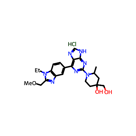 CCn1c(COC)nc2cc(-c3nc(N4CCC(O)(CO)CC4C)nc4[nH]cnc34)ccc21.Cl